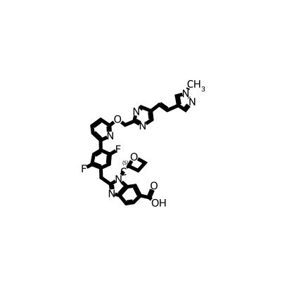 Cn1cc(C=Cc2cnc(COc3cccc(-c4cc(F)c(Cc5nc6ccc(C(=O)O)cc6n5C[C@@H]5CCO5)cc4F)n3)nc2)cn1